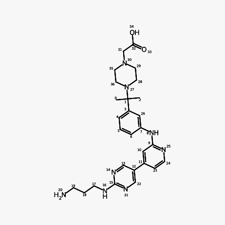 CC(C)(c1cccc(Nc2cc(-c3cnc(NCCCN)nc3)ccn2)c1)N1CCN(CC(=O)O)CC1